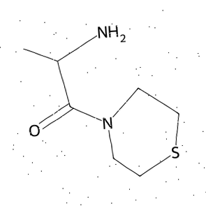 CC(N)C(=O)N1CCSCC1